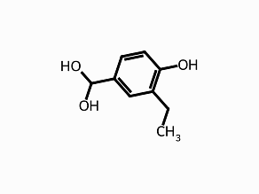 CCc1cc(C(O)O)ccc1O